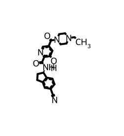 CCN1CCN(C(=O)c2cnc(C(=O)N[C@@H]3CCc4cc(C#N)ccc43)c(O)c2)CC1